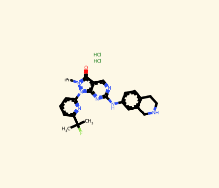 CC(C)n1c(=O)c2cnc(Nc3ccc4c(c3)CNCC4)nc2n1-c1cccc(C(C)(C)F)n1.Cl.Cl